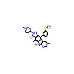 CCSc1cccc(-c2cc(C(=O)NC3CCN(C)CC3)c(C)c3[nH]c4ncc(C)cc4c23)c1